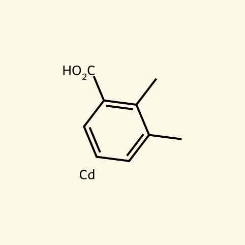 Cc1cccc(C(=O)O)c1C.[Cd]